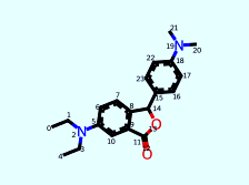 CCN(CC)c1ccc2c(c1)C(=O)OC2c1ccc(N(C)C)cc1